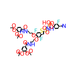 CC(=O)Oc1ccc(C(=O)NCCCOc2c(OCCCNC(=O)c3ccc(OC(C)=O)c(OC(C)=O)c3)c(F)c3sc(S(=O)(=O)NCP(=O)(O)Oc4ccc(C#N)c(F)c4)cc3c2F)cc1OC(C)=O